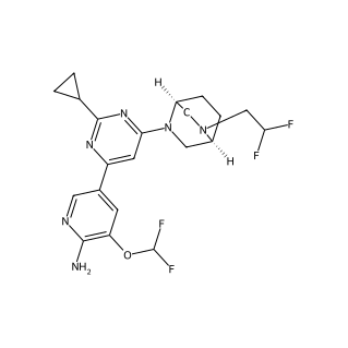 Nc1ncc(-c2cc(N3C[C@@H]4CC[C@H]3CN4CC(F)F)nc(C3CC3)n2)cc1OC(F)F